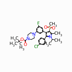 Cc1c(S(C)(=O)=O)c(-c2cc(F)cc(N3CCN(C(=O)OC(C)(C)C)CC3)c2)c(-c2ccc(Cl)cc2)n1C(C)C